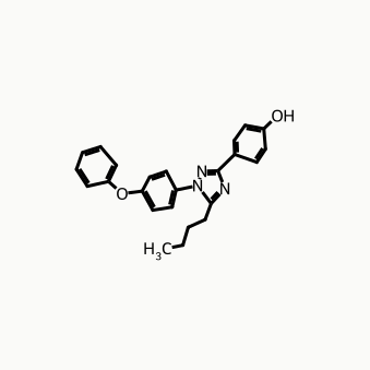 CCCCc1nc(-c2ccc(O)cc2)nn1-c1ccc(Oc2ccccc2)cc1